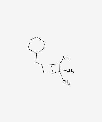 CC1C2C(CC3CCCCC3)CC2C1(C)C